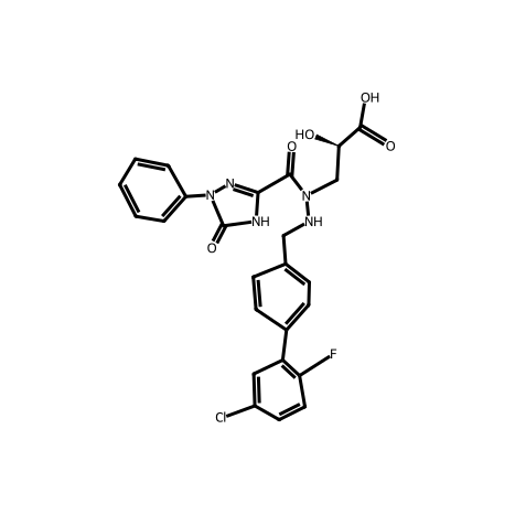 O=C(O)[C@H](O)CN(NCc1ccc(-c2cc(Cl)ccc2F)cc1)C(=O)c1nn(-c2ccccc2)c(=O)[nH]1